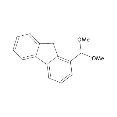 COC(OC)c1cccc2c1Cc1ccccc1-2